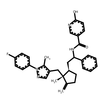 C=C1CC[C@H](CC(NC(=O)c2ccc(O)nc2)c2ccccc2)[C@@]1(C)Cc1cnn(-c2ccc(F)cc2)c1C